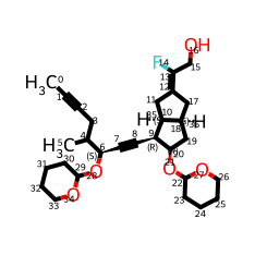 CC#CCC(C)[C@@H](C#C[C@H]1[C@H]2CC(=C(F)CO)C[C@H]2C[C@H]1OC1CCCCO1)OC1CCCCO1